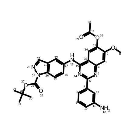 COc1cc2nc(-c3cccc(N)c3)nc(Nc3ccc4c(cnn4C(=O)OC(C)(C)C)c3)c2cc1OC(C)=O